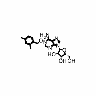 Cc1ccc(CON2CN=c3c(ncn3[C@@H]3O[C@H](CO)[C@@H](O)[C@H]3O)=C2N)c(C)c1